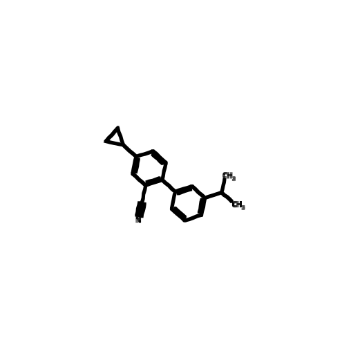 CC(C)c1cccc(-c2ccc(C3CC3)cc2C#N)c1